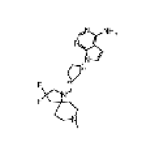 CN1CCC2(CC1)CC(F)(F)CN2C[C@@H]1CC[C@H](n2ccc3c(N)ncnc32)C1